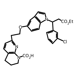 CCOC(=O)CC(c1cccc(Cl)c1)n1ccc2cc(OCCc3ccc4c(n3)N(C(=O)O)CCC4)ccc21